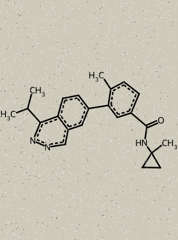 Cc1ccc(C(=O)NC2(C)CC2)cc1-c1ccc2c(C(C)C)nncc2c1